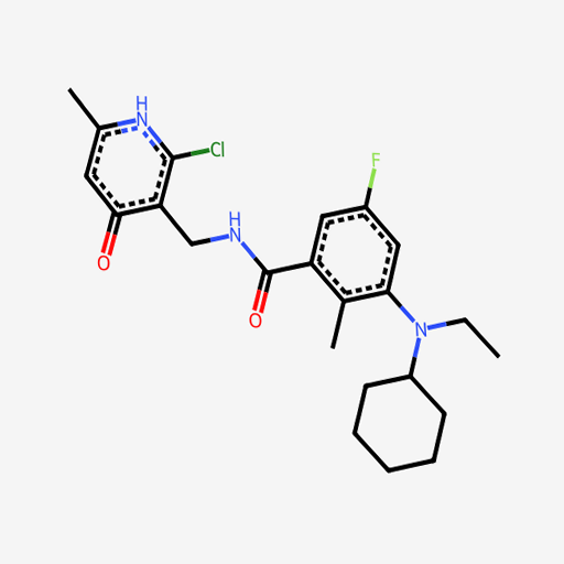 CCN(c1cc(F)cc(C(=O)NCc2c(Cl)[nH]c(C)cc2=O)c1C)C1CCCCC1